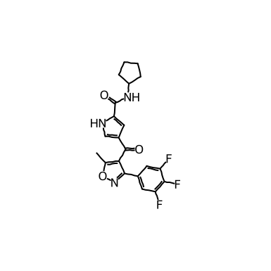 Cc1onc(-c2cc(F)c(F)c(F)c2)c1C(=O)c1c[nH]c(C(=O)NC2CCCC2)c1